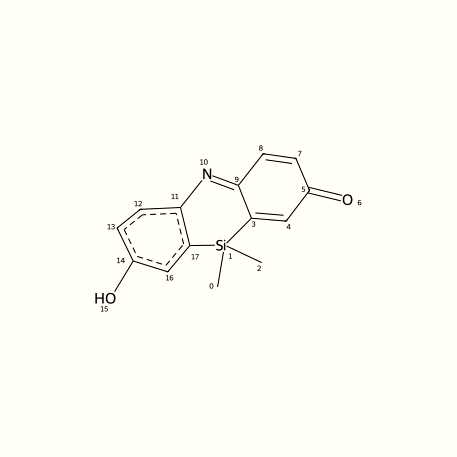 C[Si]1(C)C2=CC(=O)C=CC2=Nc2ccc(O)cc21